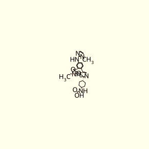 CCNS(=O)(=O)c1cc(Nc2nccn2C)ccc1-c1cnc([C@H]2CC[C@H](NC(=O)O)CC2)s1